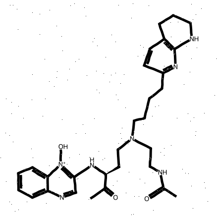 CC(=O)NCCN(CCCCc1ccc2c(n1)NCCC2)CC[C@H](Nc1cnc2ccccc2[n+]1O)C(C)=O